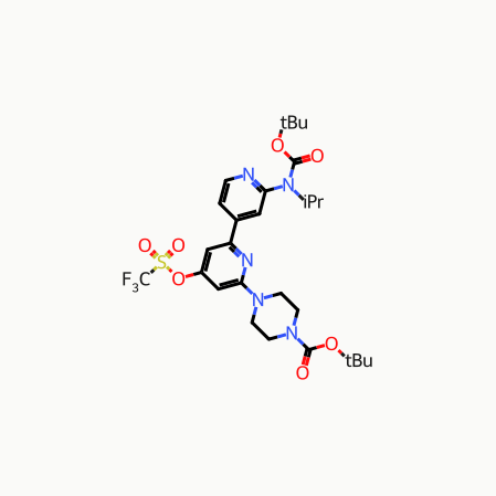 CC(C)N(C(=O)OC(C)(C)C)c1cc(-c2cc(OS(=O)(=O)C(F)(F)F)cc(N3CCN(C(=O)OC(C)(C)C)CC3)n2)ccn1